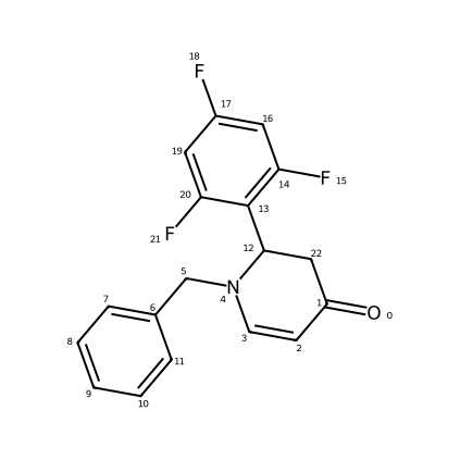 O=C1C=CN(Cc2ccccc2)C(c2c(F)cc(F)cc2F)C1